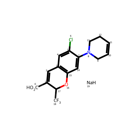 O=C(O)C1=Cc2cc(Cl)c(N3CC=CCC3)cc2OC1C(F)(F)F.[NaH]